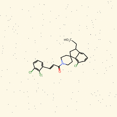 O=C(O)CC1CC2(CCN(C(=O)/C=C/c3cccc(Cl)c3Cl)CC2)c2c(Cl)cccc21